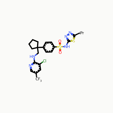 CC(C)c1nnc(NS(=O)(=O)c2ccc(C3(CNc4ncc(C(F)(F)F)cc4Cl)CCCC3)cc2)s1